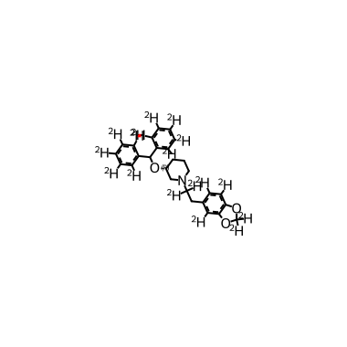 [2H]c1c([2H])c([2H])c(C(O[C@@H]2CCCN(C([2H])([2H])Cc3c([2H])c([2H])c4c(c3[2H])OC([2H])([2H])O4)C2)c2c([2H])c([2H])c([2H])c([2H])c2[2H])c([2H])c1[2H]